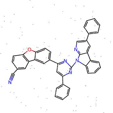 N#Cc1ccc2oc3ccc(-c4cc(-c5ccccc5)nc(-n5c6ccccc6c6cc(-c7ccccc7)cnc65)n4)cc3c2c1